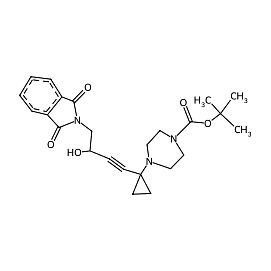 CC(C)(C)OC(=O)N1CCN(C2(C#CC(O)CN3C(=O)c4ccccc4C3=O)CC2)CC1